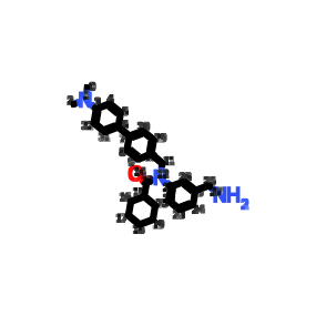 CN(C)c1ccc(-c2ccc(CN(C(=O)C3CCCCC3)c3cccc(CN)c3)cc2)cc1